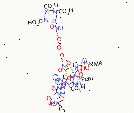 CCCCCC(=O)N[C@@H](CSC1=C(SC[C@H](NC(=O)[C@H](Cc2ccccc2)NC(=O)[C@H](CCC(N)=O)NC(=O)C[C@@H](C)O)C(=O)N[C@@H](CC(=O)O)C(N)=O)C(=O)N(CCCOCCOCCOCCCNC(=O)CN2CCN(CC(=O)O)CCN(CC(=O)O)CCN(CC(=O)O)CC2)C1=O)C(=O)N1CCC[C@H]1C(=O)N1CCC[C@H]1C(=O)NC